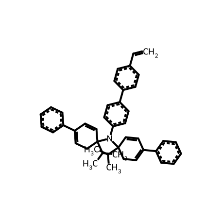 C=Cc1ccc(-c2ccc(N(C3(C(C)C)C=CC(c4ccccc4)=CC3)C3(C(C)C)C=CC(c4ccccc4)=CC3)cc2)cc1